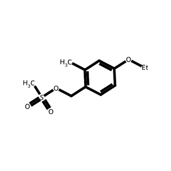 CCOc1ccc(COS(C)(=O)=O)c(C)c1